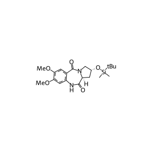 COc1cc2c(cc1OC)C(=O)N1C[C@H](O[Si](C)(C)C(C)(C)C)C[C@H]1C(=O)N2